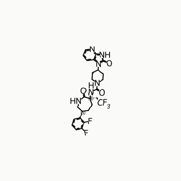 O=C(N[C@@]1(CC(F)(F)F)CC[C@@H](c2cccc(F)c2F)CNC1=O)N1CCC(n2c(=O)[nH]c3ncccc32)CC1